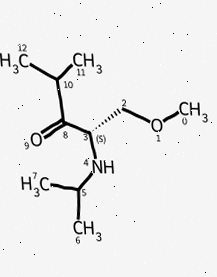 COC[C@H](NC(C)C)C(=O)C(C)C